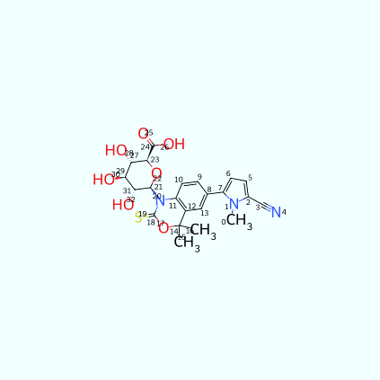 Cn1c(C#N)ccc1-c1ccc2c(c1)C(C)(C)OC(=S)N2[C@@H]1O[C@H](C(=O)O)[C@@H](O)[C@H](O)[C@H]1O